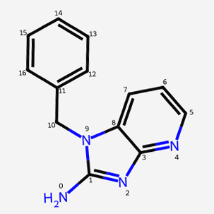 Nc1nc2ncccc2n1Cc1ccccc1